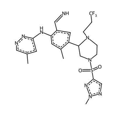 Cc1cnnc(Nc2cc(C)c(C3CN(S(=O)(=O)c4cnn(C)n4)CCN3CCC(F)(F)F)cc2C=N)c1